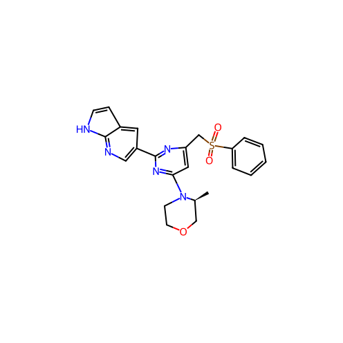 C[C@H]1COCCN1c1cc(CS(=O)(=O)c2ccccc2)nc(-c2cnc3[nH]ccc3c2)n1